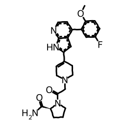 COc1ccc(F)cc1-c1ccnc2[nH]c(C3=CCN(CC(=O)N4CCC[C@H]4C(N)=O)CC3)cc12